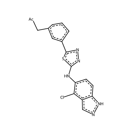 CC(=O)Cc1cccc(-c2nnc(Nc3ccc4[nH]ncc4c3Cl)s2)c1